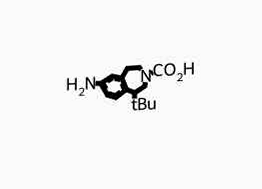 CC(C)(C)C1CN(C(=O)O)CCc2cc(N)ccc21